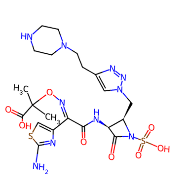 CC(C)(ON=C(C(=O)N[C@@H]1C(=O)N(S(=O)(=O)O)[C@@H]1Cn1cc(CCN2CCNCC2)nn1)c1csc(N)n1)C(=O)O